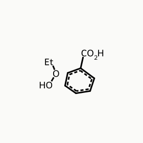 CCOO.O=C(O)c1ccccc1